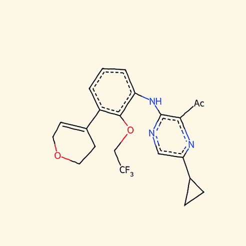 CC(=O)c1nc(C2CC2)cnc1Nc1cccc(C2=CCOCC2)c1OCC(F)(F)F